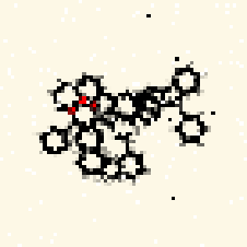 c1ccc(-c2cccc(-c3nc(-c4ccc5c6ccccc6n(-c6ccccc6)c5c4)nc(-c4cccc5oc6ccc7ccc(-n8c9cc%10ccccc%10cc9c9ccc%10ccccc%10c98)cc7c6c45)n3)c2)cc1